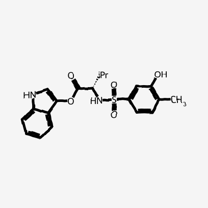 Cc1ccc(S(=O)(=O)N[C@H](C(=O)Oc2c[nH]c3ccccc23)C(C)C)cc1O